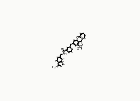 CS(=O)(=O)c1cc(Cc2cc(C(=O)NCc3ccc4c(N)noc4c3)ccn2)ccc1Cn1ccccc1=O